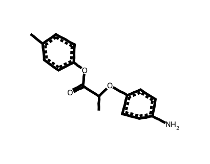 Cc1ccc(OC(=O)C(C)Oc2ccc(N)cc2)cc1